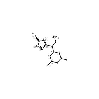 CC1CC(C)CC(C(CN)c2noc(=O)[nH]2)C1